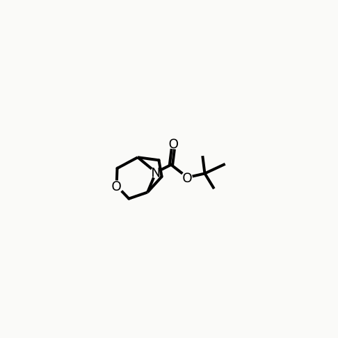 CC(C)(C)OC(=O)N1C2CCC1COC2